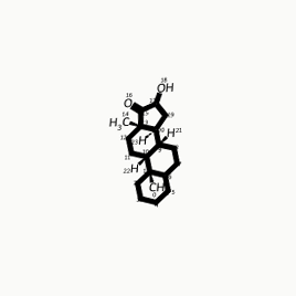 C[C@]12CCCCC1CC[C@@H]1[C@H]2CC[C@]2(C)C(=O)C(O)C[C@@H]12